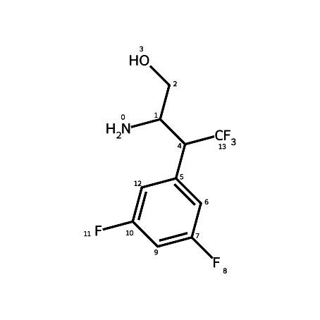 NC(CO)C(c1cc(F)cc(F)c1)C(F)(F)F